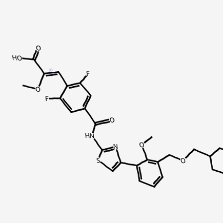 CCC(CC)COCc1cccc(-c2csc(NC(=O)c3cc(F)c(/C=C(\OC)C(=O)O)c(F)c3)n2)c1OC